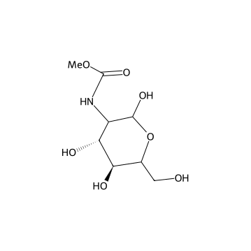 COC(=O)NC1C(O)OC(CO)[C@@H](O)[C@@H]1O